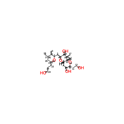 C=C1C(C[C@@H]2O[C@H]3C[C@@H](O)[C@@H](CCO)O[C@H]3[C@H](C)[C@H]2O)O[C@@H](CCCO)C[C@H]1C